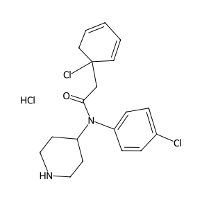 Cl.O=C(CC1(Cl)C=CC=CC1)N(c1ccc(Cl)cc1)C1CCNCC1